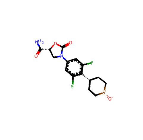 NC(=O)[C@H]1CN(c2cc(F)c([C@H]3CC[S@@+]([O-])CC3)c(F)c2)C(=O)O1